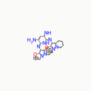 CC(C)(C)Oc1nn2ccccc2c1/N=C1\N/C(=N\c2c(OC(C)(C)C)nn3ccccc23)C(N)=CC1=N